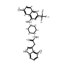 O=C(Cc1c[nH]c2cccc(Cl)c12)N[C@H]1CC[C@@H](Nc2cc(C(F)(F)F)nc3ccc(Cl)cc23)CC1